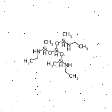 CCN[SiH](C)O[SiH](O[SiH](C)NCC)O[SiH](C)NCC